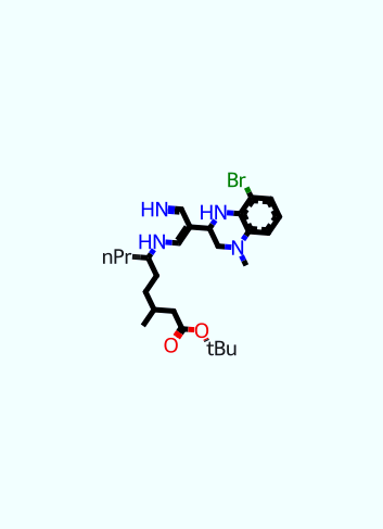 CCCC(CCC(C)CC(=O)OC(C)(C)C)N/C=C(\C=N)C1CN(C)c2cccc(Br)c2N1